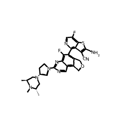 C[C@H]1CN([C@@H]2CCN(c3ncc4c5c(c(-c6ncc(F)c7sc(N)c(C#N)c67)c(F)c4n3)COC5)C2)C[C@H](C)N1C